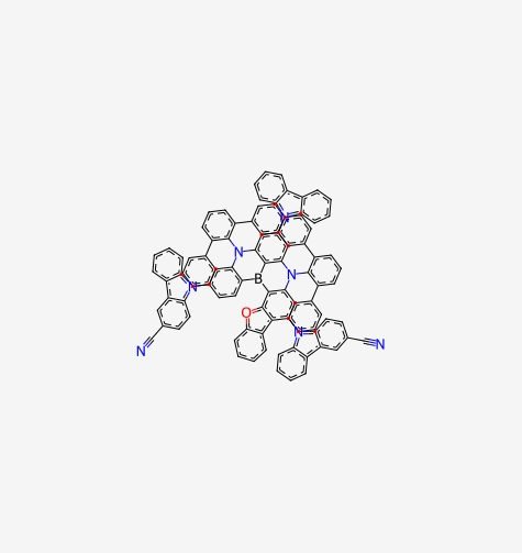 N#Cc1ccc2c(c1)c1ccccc1n2-c1ccc2c(c1)N(c1c(-c3ccccc3)cccc1-c1ccccc1)c1cc(-n3c4ccccc4c4ccccc43)cc3c1B2c1c(cc(-n2c4ccccc4c4cc(C#N)ccc42)c2c1oc1ccccc12)N3c1c(-c2ccccc2)cccc1-c1ccccc1